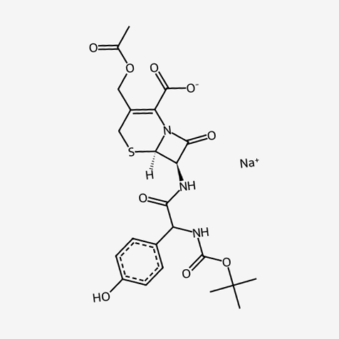 CC(=O)OCC1=C(C(=O)[O-])N2C(=O)[C@@H](NC(=O)C(NC(=O)OC(C)(C)C)c3ccc(O)cc3)[C@H]2SC1.[Na+]